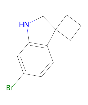 Brc1ccc2c(c1)NCC21CCC1